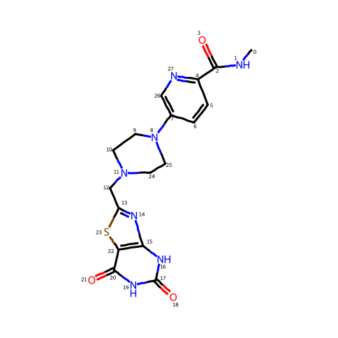 CNC(=O)c1ccc(N2CCN(Cc3nc4[nH]c(=O)[nH]c(=O)c4s3)CC2)cn1